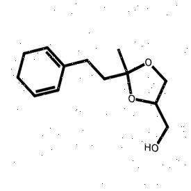 CC1(CCC2=CCCC=C2)OCC(CO)O1